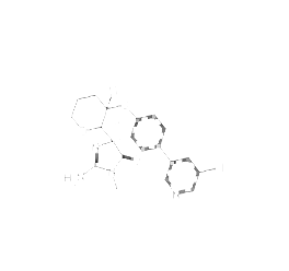 CN1C(=O)[C@]2(N=C1N)c1cc(-c3cncc(Cl)c3)ccc1O[C@H]1CCCO[C@@]12C